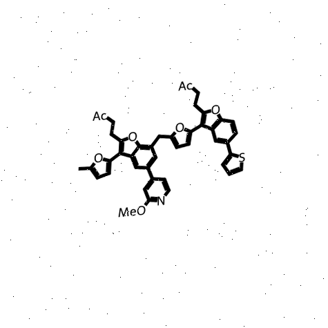 COc1cc(-c2cc(Cc3ccc(-c4c(CCC(C)=O)oc5ccc(-c6cccs6)cc45)o3)c3oc(CCC(C)=O)c(-c4ccc(C)o4)c3c2)ccn1